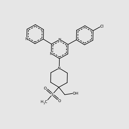 CS(=O)(=O)C1(CO)CCN(c2cc(-c3ccc(Cl)cc3)nc(-c3cccnc3)n2)CC1